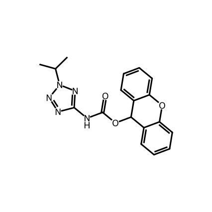 CC(C)n1nnc(NC(=O)OC2c3ccccc3Oc3ccccc32)n1